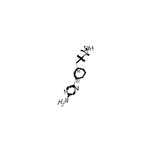 CC(C)(C[C@@H]1CCC[C@H](c2cnc(N)cn2)C1)[Si](C)(C)O